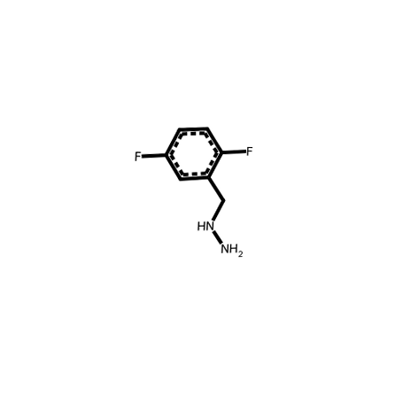 NNCc1cc(F)ccc1F